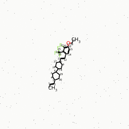 C/C=C/C1CCC(C2CCC(/C=C/c3ccc(OCC)c(F)c3C(F)(F)F)CC2)CC1